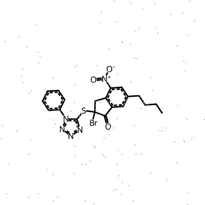 CCCCc1cc2c(c([N+](=O)[O-])c1)CC(Br)(Sc1nnnn1-c1ccccc1)C2=O